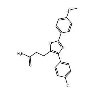 COc1ccc(-c2nc(-c3ccc(Cl)cc3)c(CCC(N)=O)o2)cc1